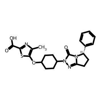 Cc1nc(C(=O)O)sc1OC1CCC(n2nc3n(c2=O)[C@H](c2ccccc2)CC3)CC1